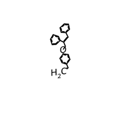 C=Cc1ccc(OCC(=Cc2ccccc2)c2ccccc2)cc1